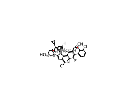 N#CCCc1cc2c(nc(Cl)c3cc([C@H]4C[C@H](O)CN4C(=O)C4CC4)n([C@H]4[C@@H]5C[C@H]4N(C(=O)O)C5)c32)c(F)c1-c1cccc(Cl)c1Cl